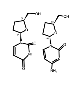 Nc1ccn([C@H]2CC[C@@H](CO)O2)c(=O)n1.O=c1ccn([C@H]2CC[C@@H](CO)O2)c(=O)[nH]1